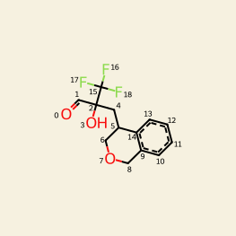 O=CC(O)(CC1COCc2ccccc21)C(F)(F)F